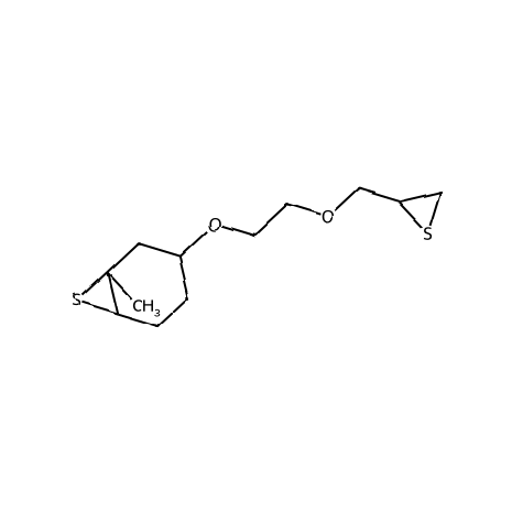 CC12CC(OCCOCC3CS3)CCC1S2